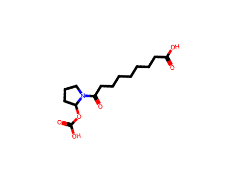 O=C(O)CCCCCCCC(=O)N1CCCC1OC(=O)O